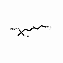 CCCCCCCC(C)(CCCC)CCSCCC(=O)O